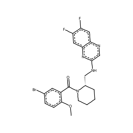 COc1ccc(Br)cc1C(=O)N1CCCC[C@H]1CNc1cnc2cc(F)c(F)cc2n1